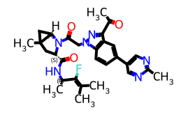 CC(=O)c1nn(CC(=O)N2[C@H](C(=O)N[C@H](C)C(F)=C(C)C)CC3(C)C[C@@H]23)c2ccc(-c3cnc(C)nc3)cc12